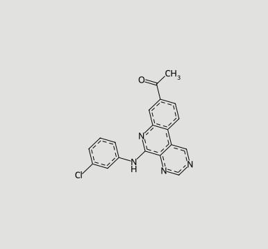 CC(=O)c1ccc2c(c1)nc(Nc1cccc(Cl)c1)c1ncncc12